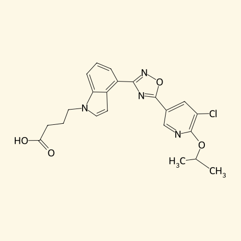 CC(C)Oc1ncc(-c2nc(-c3cccc4c3ccn4CCCC(=O)O)no2)cc1Cl